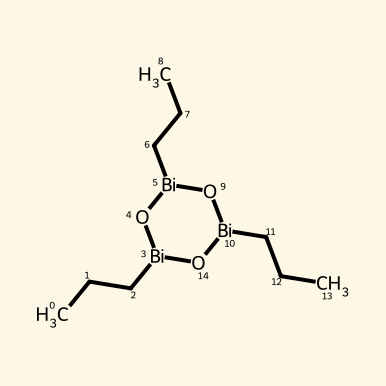 CC[CH2][Bi]1[O][Bi]([CH2]CC)[O][Bi]([CH2]CC)[O]1